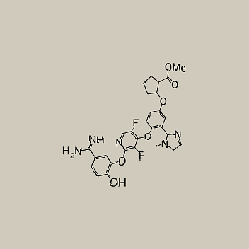 COC(=O)C1CCCC1Oc1ccc(Oc2c(F)cnc(Oc3cc(C(=N)N)ccc3O)c2F)c(C2N=CCN2C)c1